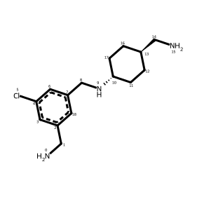 NCc1cc(Cl)cc(CN[C@H]2CC[C@H](CN)CC2)c1